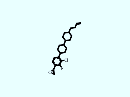 C=CCCC1CCC(C2CCC(c3ccc(C4CO4)c(F)c3Cl)CC2)CC1